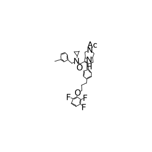 CC(=O)N1CC2CC(c3ccc(CCCOc4c(F)ccc(F)c4F)cc3)=C(C(=O)N(Cc3cccc(C)c3)C3CC3)C(C1)N2